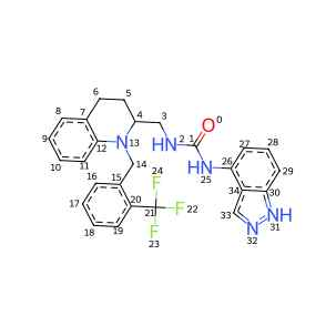 O=C(NCC1CCc2ccccc2N1Cc1ccccc1C(F)(F)F)Nc1cccc2[nH]ncc12